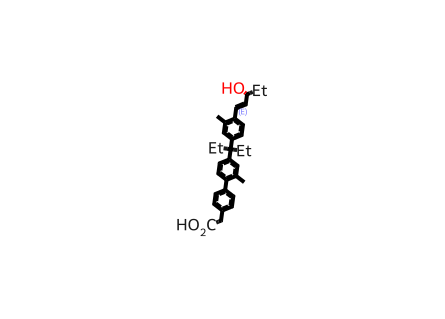 CCC(O)/C=C/c1ccc(C(CC)(CC)c2ccc(-c3ccc(CC(=O)O)cc3)c(C)c2)cc1C